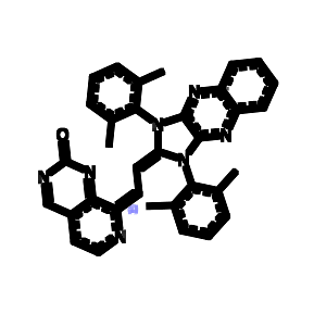 Cc1cccc(C)c1N1C(=C/C=c2/nccc3c2=NC(=O)N=C3)N(c2c(C)cccc2C)c2nc3ccccc3nc21